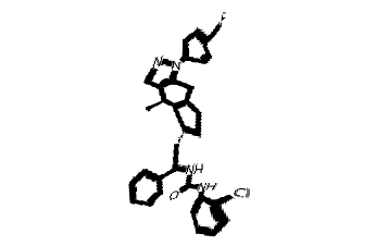 C[C@@H]1C2=C(CC[C@@H]2CC(NC(=O)Nc2ccccc2Cl)c2ccccc2)Cc2c1cnn2-c1ccc(F)cc1